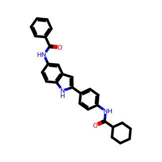 O=C(Nc1ccc2[nH]c(-c3ccc(NC(=O)C4CCCCC4)cc3)cc2c1)c1ccccc1